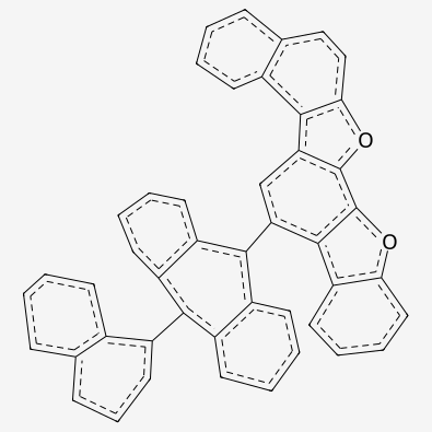 c1ccc2c(-c3c4ccccc4c(-c4cc5c(oc6ccc7ccccc7c65)c5oc6ccccc6c45)c4ccccc34)cccc2c1